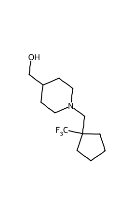 OCC1CCN(CC2(C(F)(F)F)CCCC2)CC1